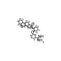 N=C(N)c1cccc(Oc2ccccc2NC(=O)c2ccc(-c3ccccc3S)cc2)c1